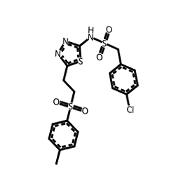 Cc1ccc(S(=O)(=O)CCc2nnc(NS(=O)(=O)Cc3ccc(Cl)cc3)s2)cc1